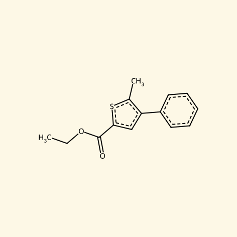 CCOC(=O)c1cc(-c2ccccc2)c(C)s1